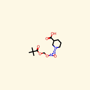 CC(C)(C)C(=O)OCOn1on1N1CCCC(C(=O)O)C1